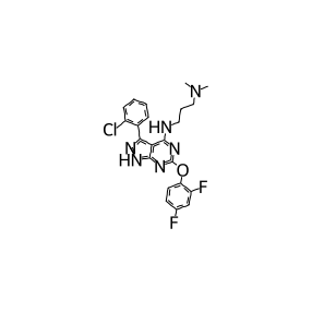 CN(C)CCCNc1nc(Oc2ccc(F)cc2F)nc2[nH]nc(-c3ccccc3Cl)c12